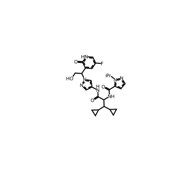 CC(C)n1nccc1C(=O)NC(C(=O)Nc1cnn(C(CO)c2cc(F)c[nH]c2=O)c1)C(C1CC1)C1CC1